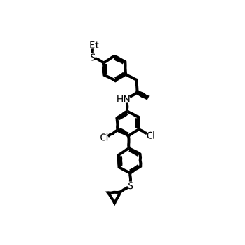 C=C(Cc1ccc(SCC)cc1)Nc1cc(Cl)c(-c2ccc(SC3CC3)cc2)c(Cl)c1